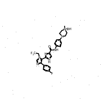 C[N+]1(O)CCN(c2ccc(NC(=O)c3c[nH]c(-c4c(-c5ccc(F)cc5)ncn4CC(F)(F)F)n3)cc2)CC1